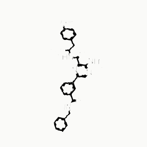 Nc1ncc(-c2cccc(C(=O)NCc3ccccc3)c2)nc1C(=O)NC(Cc1ccc(O)cc1)C(=O)O